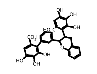 O=C(O)c1cc(O)c(O)c(O)c1-c1cccc(C2Oc3ccccc3CC2c2c(C(=O)O)cc(O)c(O)c2O)c1